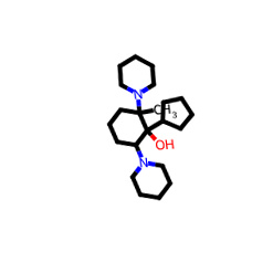 CC1(N2CCCCC2)CCCC(N2CCCCC2)C1(O)C1CCCC1